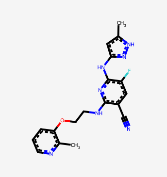 Cc1cc(Nc2nc(NCCOc3cccnc3C)c(C#N)cc2F)n[nH]1